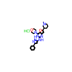 CN1CCCC(c2cc3nc(Nc4cc(-c5ccccc5)n[nH]4)nc(N4CCOCC4)c3o2)C1.Cl